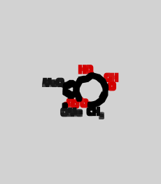 COCOc1cc(OC)cc2c1C(=O)O[C@@H](C)C/C=C\C(=O)[C@@H](O)CC(O)/C=C/2